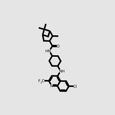 CC1C(C(=O)NC2CCC(Nc3cc(C(F)(F)F)nc4ccc(Cl)cc34)CC2)CC2CC1C2(C)C